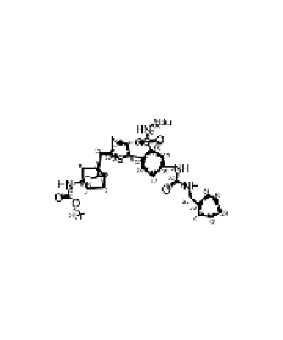 CC(C)OC(=O)NC12CCC(CC1)C(Cc1ncc(-c3ccc(NC(=O)NCc4ccccc4)cc3S(=O)(=O)NC(C)(C)C)s1)C2